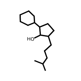 CC(C)CCCC1CCC(C2CCCCC2)C1O